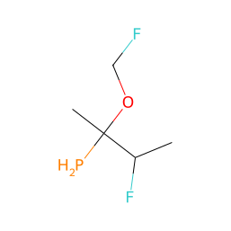 CC(F)C(C)(P)OCF